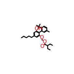 CCCCCc1cc(O)c(-c2cc(C)ccc2C(C)(C)C)c(OCOC(=O)C(CC)CC)c1